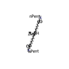 CCCCC/C=C\CC(=O)OCCCCCCCCNN(CCCCCCCCOC(=O)C/C=C\CCCCC)CCN(C)C